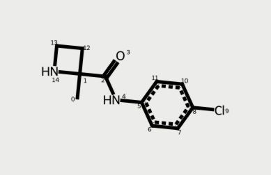 CC1(C(=O)Nc2ccc(Cl)cc2)CCN1